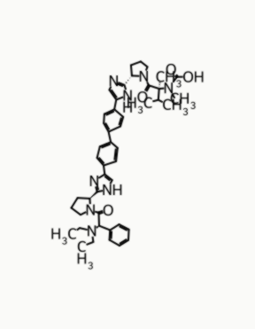 CCN(CC)[C@@H](C(=O)N1CCC[C@H]1c1nc(-c2ccc(-c3ccc(-c4cnc([C@@H]5CCCN5C(=O)[C@](C)(C(C)C)N(C)C(=O)O)[nH]4)cc3)cc2)c[nH]1)c1ccccc1